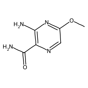 COc1cnc(C(N)=O)c(N)n1